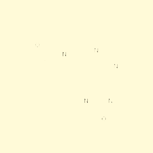 CC(=O)N1Cc2c(-c3noc(C4CC4)n3)ncn2-c2ccccc21